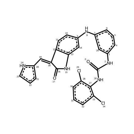 O=C(Nc1cccc(Nc2ccc3c(c2)NC(=O)/C3=C\c2ccc[nH]2)c1)Nc1c(Cl)cccc1Cl